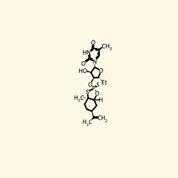 C=C(C)[C@H]1CC[C@@]2(C)S[P@](=S)(O[C@H]3[C@@H](O)[C@H](n4cc(C)c(=O)[nH]c4=O)O[C@@H]3CC)O[C@@H]2C1